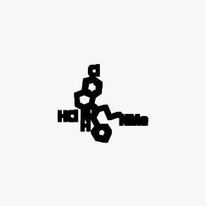 CNCCCc1c(-c2ccccc2)[nH]c2c1-c1ccc(Cl)cc1CC2.Cl